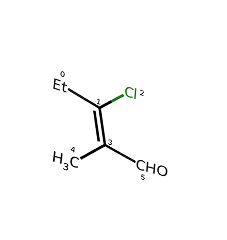 CCC(Cl)=C(C)C=O